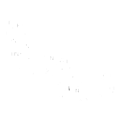 Cc1cc(Nc2nccc(C(F)(F)F)n2)cc(-c2cnc([C@]3(O)CC[C@H](C(=O)N4CCc5cc(O)c(O)cc5C4)CC3)s2)c1